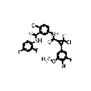 COc1cc(C2C(C(=O)Nc3ccc(Cl)c(C(=O)Nc4ccc(F)cc4F)c3)C2(Cl)Cl)cc(F)c1Br